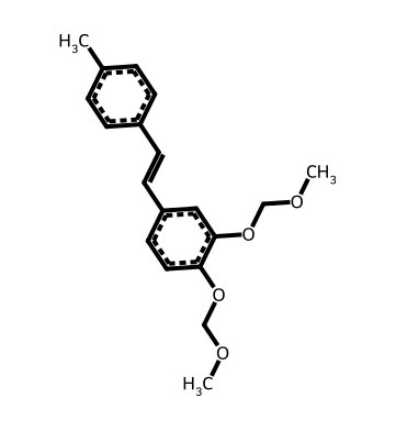 COCOc1ccc(/C=C/c2ccc(C)cc2)cc1OCOC